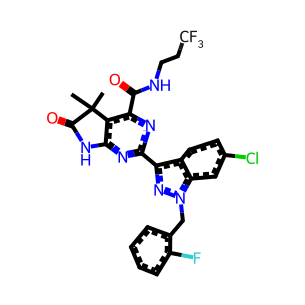 CC1(C)C(=O)Nc2nc(-c3nn(Cc4ccccc4F)c4cc(Cl)ccc34)nc(C(=O)NCCC(F)(F)F)c21